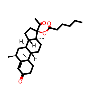 CCCCCC(=O)O[C@]1(C(C)=O)CC[C@H]2[C@@H]3C[C@H](C)C4=CC(=O)CC[C@]4(C)[C@H]3CC[C@@]21C